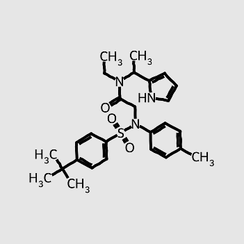 CCN(C(=O)CN(c1ccc(C)cc1)S(=O)(=O)c1ccc(C(C)(C)C)cc1)C(C)c1ccc[nH]1